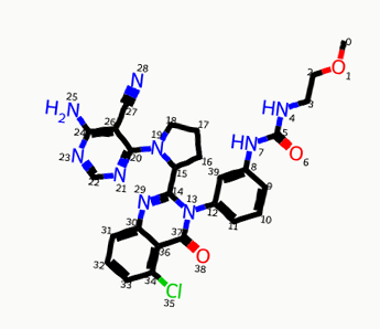 COCCNC(=O)Nc1cccc(-n2c(C3CCCN3c3ncnc(N)c3C#N)nc3cccc(Cl)c3c2=O)c1